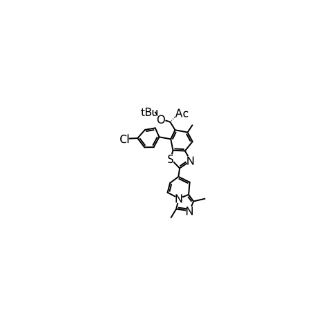 CC(=O)[C@@H](OC(C)(C)C)c1c(C)cc2nc(-c3ccn4c(C)nc(C)c4c3)sc2c1-c1ccc(Cl)cc1